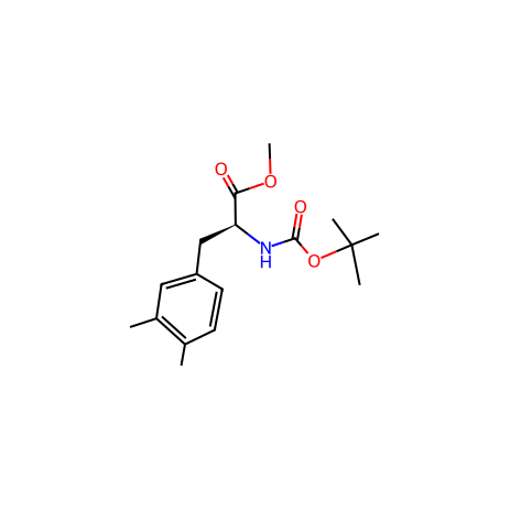 COC(=O)[C@H](Cc1ccc(C)c(C)c1)NC(=O)OC(C)(C)C